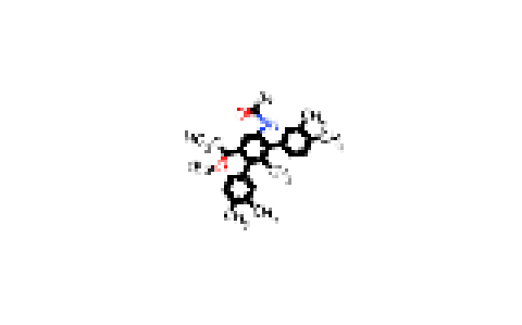 Cc1ccc(-c2c(NC(=O)C(C)C)cc(C(OC(C)(C)C)C(=O)O)c(-c3ccc(C)c(C)c3)c2C)cc1C